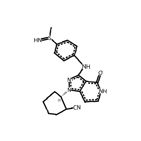 CS(=N)c1ccc(Nc2nn([C@H]3CCCCC3C#N)c3cc[nH]c(=O)c23)cc1